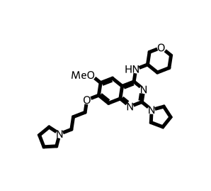 COc1cc2c(NC3CCCOC3)nc(N3CCCC3)nc2cc1OCCCN1CCCC1